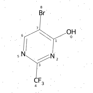 Oc1nc(C(F)(F)F)ncc1Br